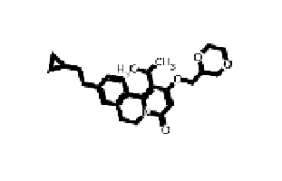 CC(C)c1c(OCC2COCCO2)cc(=O)n2c1-c1ccc(CCC3CC3)cc1CC2